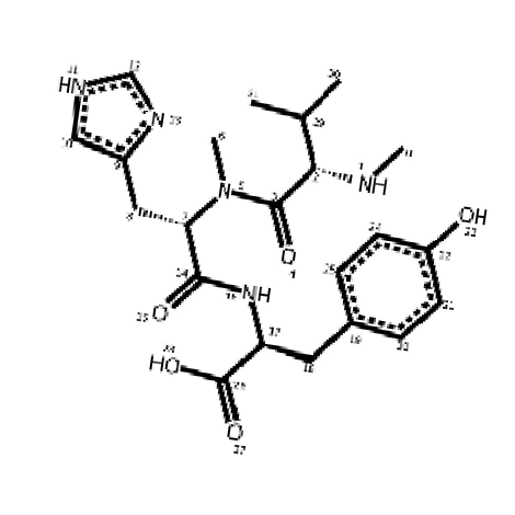 CN[C@H](C(=O)N(C)[C@@H](Cc1c[nH]cn1)C(=O)N[C@@H](Cc1ccc(O)cc1)C(=O)O)C(C)C